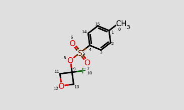 Cc1ccc(S(=O)(=O)OC2(F)COC2)cc1